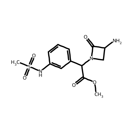 COC(=O)C(c1cccc(NS(C)(=O)=O)c1)N1CC(N)C1=O